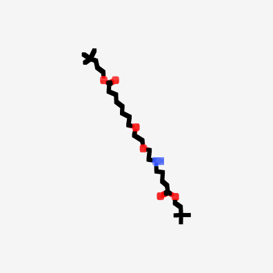 CC(C)(C)CCCOC(=O)CCCCCCCOCCOCCNCCCCC(=O)OCCC(C)(C)C